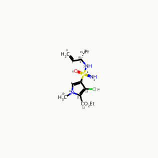 C=C[C@@H](NS(=N)(=O)c1cn(C)c(C(=O)OCC)c1Cl)C(C)C